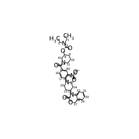 CCN(CC)C(=O)OC1CCCN(C(=O)c2ccc(N3CCC(N4C(=O)OCc5ccccc54)CC3)c([N+](=O)[O-])c2)C1